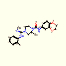 CCCC1CN(/C(=N\C#N)Nc2ccccc2C)CCN1C(=O)Nc1ccc2c(c1)OCCO2